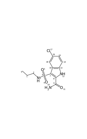 CCCNS(=O)(=O)c1c(C(N)=O)[nH]c2ccc(Cl)cc12